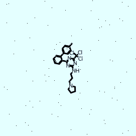 Cc1ccc(-c2ccccc2-c2nc(NCCCN3CCCC3)nc(C(Cl)(Cl)Cl)n2)cc1